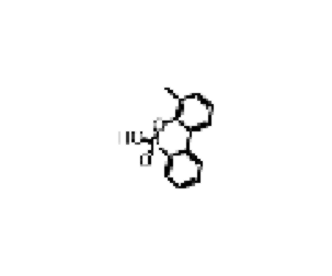 Cc1cccc2c1OP(=O)(O)c1ccccc1-2